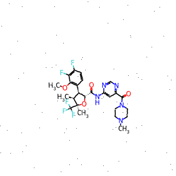 COc1c([C@H]2[C@H](C(=O)Nc3cc(C(=O)N4CCN(C)CC4)ncn3)O[C@@](C)(C(F)(F)F)[C@H]2C)ccc(F)c1F